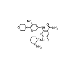 N#Cc1cc(Nc2nc(N[C@H]3CCCC[C@H]3N)c(F)cc2C(N)=O)cnc1N1CCOCC1